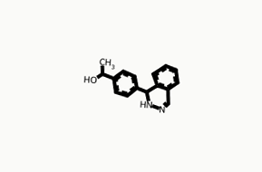 CC(O)c1ccc(C2NN=Cc3ccccc32)cc1